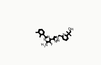 Cc1cccc(-c2nc(N)c(F)c(-c3cn(Cc4cccc(C(C)(C)CO)n4)nn3)n2)c1C